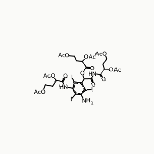 CC(=O)OCCC(OC(C)=O)C(=O)NC(=O)C(OC(=O)C(CCOC(C)=O)OC(C)=O)c1c(I)c(N)c(I)c(NC(=O)C(CCOC(C)=O)OC(C)=O)c1I